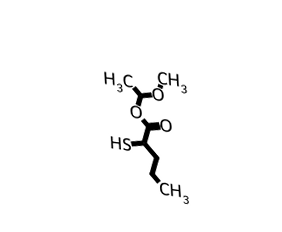 CCCC(S)C(=O)OC(C)OC